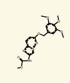 COC(=O)Nc1cn2nc(OCc3cc(OC)c(OC)c(OC)c3)ccc2n1